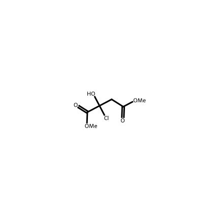 COC(=O)CC(O)(Cl)C(=O)OC